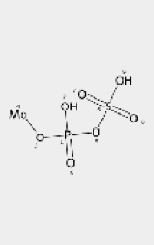 O=P(O)([O][Mo])OS(=O)(=O)O